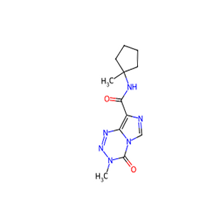 Cn1nnc2c(C(=O)NC3(C)CCCC3)ncn2c1=O